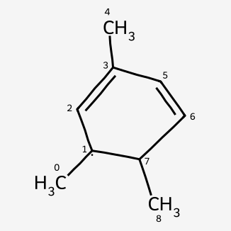 C[C]1C=C(C)C=CC1C